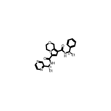 CC[C@@H](NC(=O)c1cc(C(=O)N[C@H](CC)c2cnccn2)n2c1COCC2)c1ccccc1